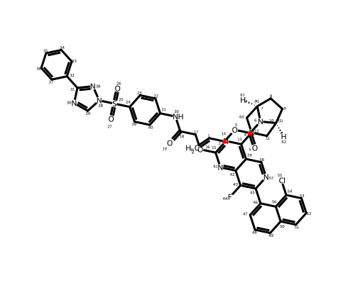 C=CCOC(=O)N1[C@@H]2CC[C@H]1CN(c1nc(OCC(=O)Nc3ccc(S(=O)(=O)n4cnc(-c5ccccc5)n4)cc3)nc3c(F)c(-c4cccc5cccc(Cl)c45)ncc13)C2